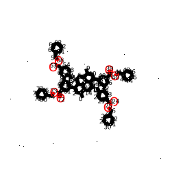 Cc1cc2c3c(cc4c(C)cc5c6c(cc1c3c46)B1c3ccc(C(=O)OCc4ccccc4)cc3-c3cc(C(=O)OCc4ccccc4)cc-5c31)B1c3ccc(C(=O)OCc4ccccc4)cc3-c3cc(C(=O)OCc4ccccc4)cc-2c31